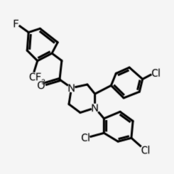 O=C(Cc1ccc(F)cc1C(F)(F)F)N1CCN(c2ccc(Cl)cc2Cl)C(c2ccc(Cl)cc2)C1